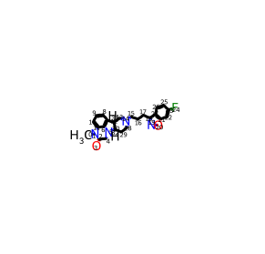 CN1C(=O)CN2c3c(cccc31)[C@@H]1CN(CCCc3noc4cc(F)ccc34)CC[C@@H]12